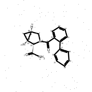 NC(=O)[C@@H]1[C@H]2C[C@H]2CN1C(=O)c1ccccc1-c1ccccc1